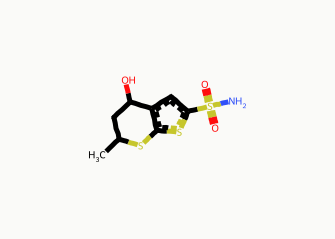 CC1CC(O)c2cc(S(N)(=O)=O)sc2S1